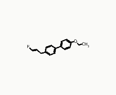 CCOc1ccc(-c2ccc(C/C=C/F)cc2)cc1